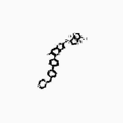 O[C@@H]1CO[C@H]2[C@@H]1OC[C@H]2Oc1cc2nc(-c3ccc(-c4ccc(CN5CCOCC5)cc4)cc3)c(F)cc2[nH]1